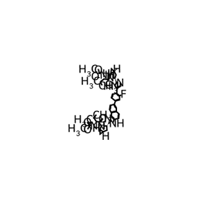 COC(=O)N[C@H](C(=O)N1[C@@H]2C[C@@H]2C[C@H]1c1ncc(-c2ccc(-c3ccc4c(ccc5[nH]c([C@@H]6C[C@H]7C[C@H]7N6C(=O)[C@@H](NC(=O)OC)C(C)C)nc54)c3)cc2F)[nH]1)C(C)C